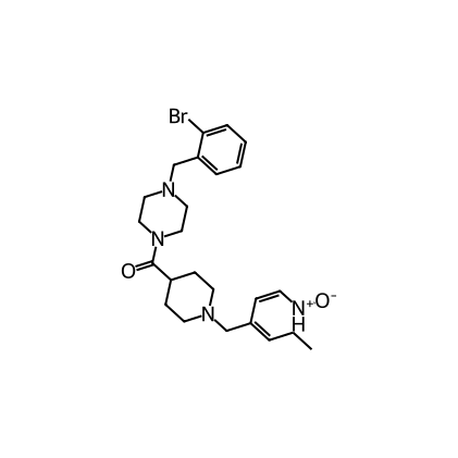 CC1C=C(CN2CCC(C(=O)N3CCN(Cc4ccccc4Br)CC3)CC2)C=C[NH+]1[O-]